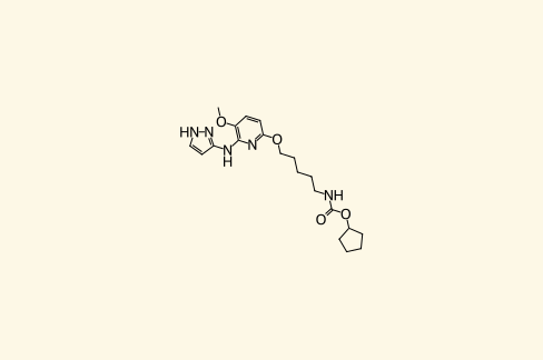 COc1ccc(OCCCCCNC(=O)OC2CCCC2)nc1Nc1cc[nH]n1